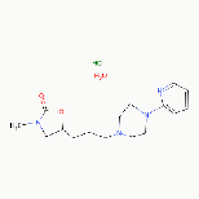 CN1CC(CCCN2CCN(c3ccccn3)CC2)OC1=O.Cl.O